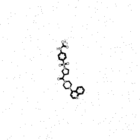 CC(=O)Nc1ccc(S(=O)(=O)N2CCC(C(=O)N3CCN(c4ccnc5ccccc45)CC3)C2)cc1